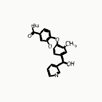 Cc1cc(C(O)c2cccnc2)ccc1Oc1ccc(C(=O)C(C)(C)C)cc1Cl